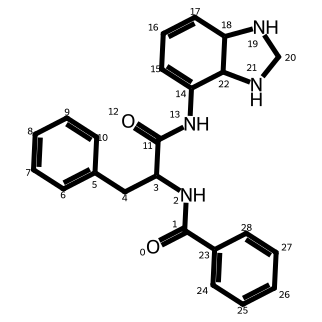 O=C(NC(Cc1ccccc1)C(=O)NC1=CC=CC2NCNC12)c1ccccc1